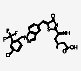 CC(CC(=N)C1=NC(=O)C(=Cc2ccc3c(cnn3Cc3ccc(Cl)cc3C(F)(F)F)c2)S1)CC(=O)O